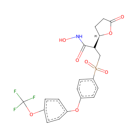 O=C1CC[C@H](C(CS(=O)(=O)c2ccc(Oc3ccc(OC(F)(F)F)cc3)cc2)C(=O)NO)O1